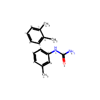 Cc1cccc(NC(N)=O)c1.Cc1ccccc1C